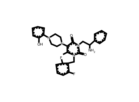 Cc1c(N2CCN(c3ccccc3O)CC2)c(=O)n(CC(N)c2ccccc2)c(=O)n1Cc1c(F)cccc1F